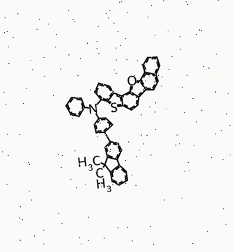 CC1(C)c2ccccc2-c2ccc(-c3ccc(N(c4ccccc4)c4cccc5c4sc4ccc6c7ccc8ccccc8c7oc6c45)cc3)cc21